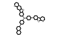 c1ccc2cc(-c3ccc(N(c4ccc(-c5ccc6c(c5)oc5ncccc56)cc4)c4ccc5c(c4)oc4cc6cccnc6cc45)cc3)ccc2c1